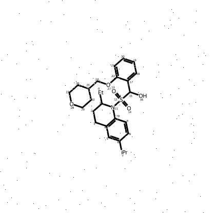 CCC1CCc2cc(C(C)C)ccc2N1S(=O)(=O)C(O)c1ccccc1OCC1CCOCC1